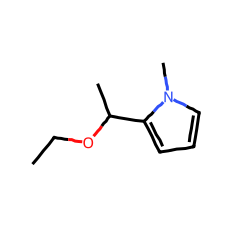 CCOC(C)c1cccn1C